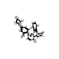 O=c1ccn(-c2ccc(N3CC(F)C3)cc2F)nc1-c1ccnn1-c1ccccc1